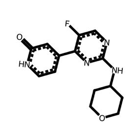 O=c1cc(-c2nc(NC3CCOCC3)ncc2F)cc[nH]1